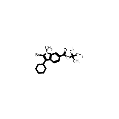 Cn1c(Br)c(C2CCCCC2)c2ccc(C(=O)OC(C)(C)C)cc21